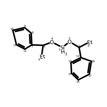 CCC(O[SiH2]OC(CC)c1ccccc1)c1ccccc1